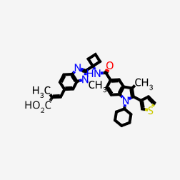 C/C(=C\c1ccc2nc(C3(NC(=O)c4ccc5c(c4)c(C)c(-c4ccsc4)n5C4CCCCC4)CCC3)n(C)c2c1)C(=O)O